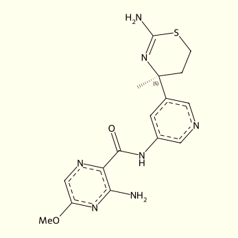 COc1cnc(C(=O)Nc2cncc([C@]3(C)CCSC(N)=N3)c2)c(N)n1